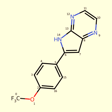 FC(F)(F)Oc1ccc(-c2cc3nccnc3[nH]2)cc1